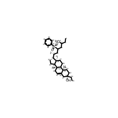 CCC(O)CC(C[C@@H](C)[C@H]1CCC2[C@@H]3CC=C4C[C@](O)(CC)CC[C@@H]4C3CC[C@@]21C)S(=O)(=O)c1ccccc1